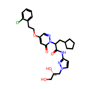 O=C(Nc1ccn(C[C@@H](O)CO)n1)C(CC1CCCC1)n1ncc(OCCc2ccccc2Cl)cc1=O